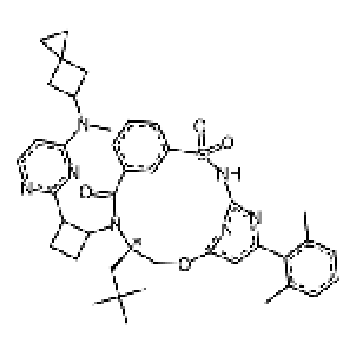 Cc1cccc(C)c1-c1cc2nc(n1)NS(=O)(=O)c1cccc(c1)C(=O)N(C1CCC1c1nccc(N(C)C3CC4(CC4)C3)n1)[C@H](CC(C)(C)C)CO2